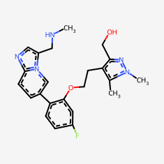 CNCc1cnc2ccc(-c3ccc(F)cc3OCCc3c(CO)nn(C)c3C)cn12